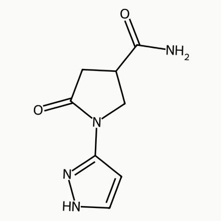 NC(=O)C1CC(=O)N(c2cc[nH]n2)C1